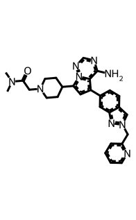 CN(C)C(=O)CN1CCC(c2cc(-c3ccc4cn(Cc5ccccn5)nc4c3)c3c(N)ncnn23)CC1